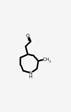 CC1CNCCCC(CC=O)C1